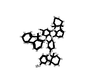 Cc1cc2c3c(c1)N1c4c(cccc4C4(C)CCCCC14C)B3c1ccc(N3c4ccc(C(C)(C)C)cc4C4(C)CCCCC34C)cc1N2c1cccc2c1C(C)(C)c1ccccc1-2